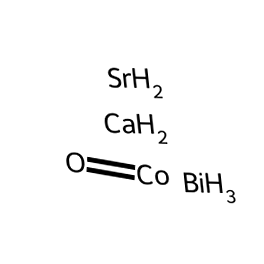 [BiH3].[CaH2].[O]=[Co].[SrH2]